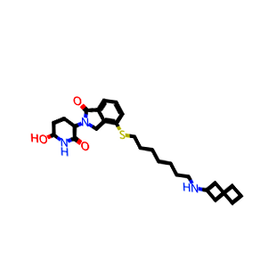 O=C1NC(O)CCC1N1Cc2c(SCCCCCCCNC3CC4(CCC4)C3)cccc2C1=O